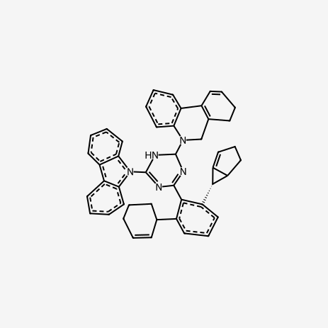 C1=CC(c2cccc([C@@H]3C4=CCCC43)c2C2=NC(N3CC4=C(C=CCC4)c4ccccc43)NC(n3c4ccccc4c4ccccc43)=N2)CCC1